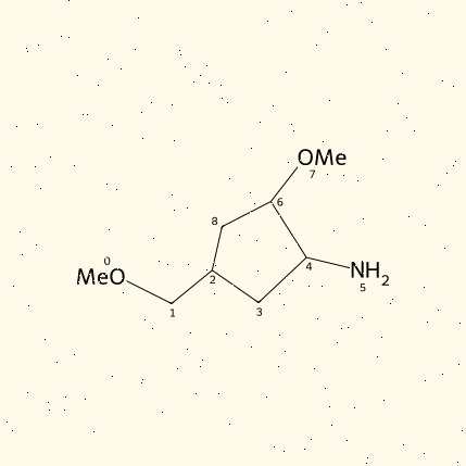 COCC1CC(N)C(OC)C1